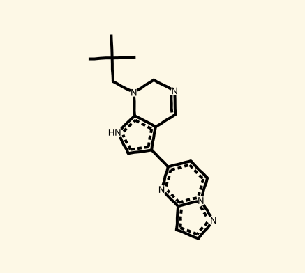 CC(C)(C)CN1CN=Cc2c(-c3ccn4nccc4n3)c[nH]c21